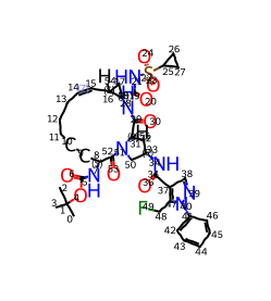 CC(C)(C)OC(=O)N[C@H]1CCCCC/C=C\[C@@H]2C[C@@]2(C(=O)NS(=O)(=O)C2CC2)NC(=O)[C@@H]2C[C@@H](NC(=O)c3cnn(-c4ccccc4)c3CF)CN2C1=O